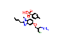 CCCCc1nc2cc(OC/C(=C/F)CN)ccc2n1C.Cc1ccc(S(=O)(=O)O)cc1